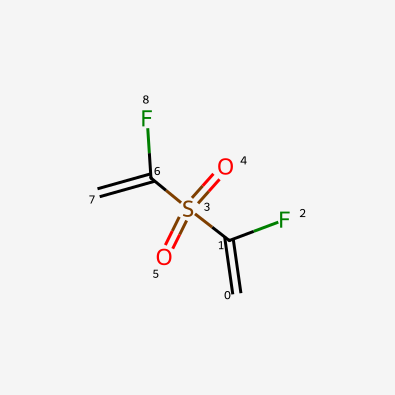 C=C(F)S(=O)(=O)C(=C)F